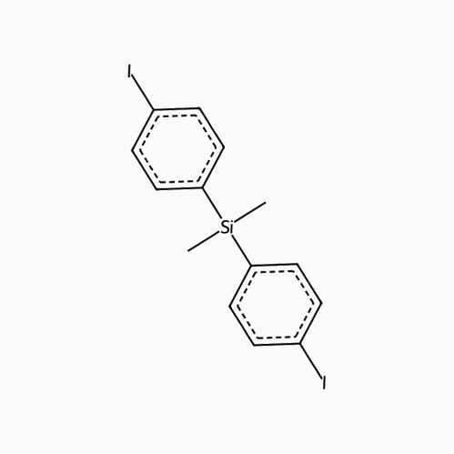 C[Si](C)(c1ccc(I)cc1)c1ccc(I)cc1